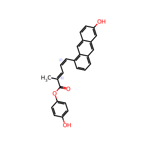 C/C(=C\C=C/c1cccc2cc3cc(O)ccc3cc12)C(=O)Oc1ccc(O)cc1